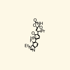 CCn1cnc2ccc(-c3ccc(C(C=C4OC(=O)NC4=O)C(C)C)c(=O)[nH]3)c(F)c21